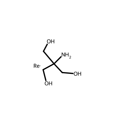 NC(CO)(CO)CO.[Re]